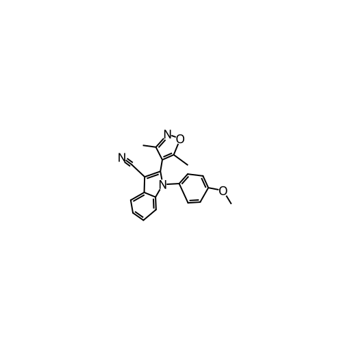 COc1ccc(-n2c(-c3c(C)noc3C)c(C#N)c3ccccc32)cc1